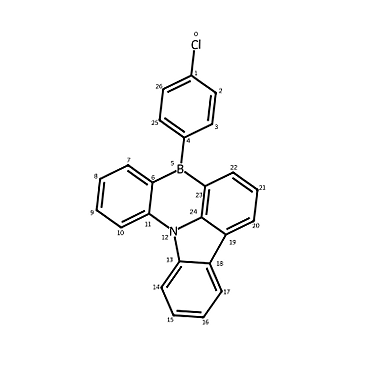 Clc1ccc(B2c3ccccc3-n3c4ccccc4c4cccc2c43)cc1